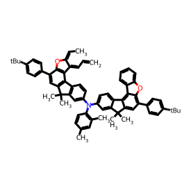 C=C/C=c1\c(=C/C)oc2c(-c3ccc(C(C)(C)C)cc3)cc3c(c12)-c1ccc(N(c2ccc4c(c2)C(C)(C)c2cc(-c5ccc(C(C)(C)C)cc5)c5oc6ccccc6c5c2-4)c2ccc(C)cc2C)cc1C3(C)C